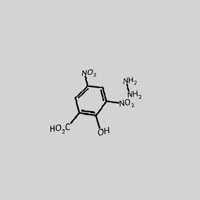 NN.O=C(O)c1cc([N+](=O)[O-])cc([N+](=O)[O-])c1O